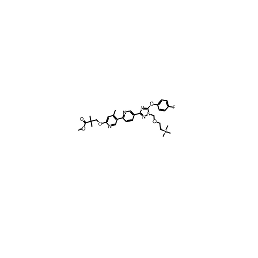 COC(=O)C(C)(C)COc1cc(C)c(-c2ccc(-c3nc(Oc4ccc(F)cc4)n(COCC[Si](C)(C)C)n3)cn2)cn1